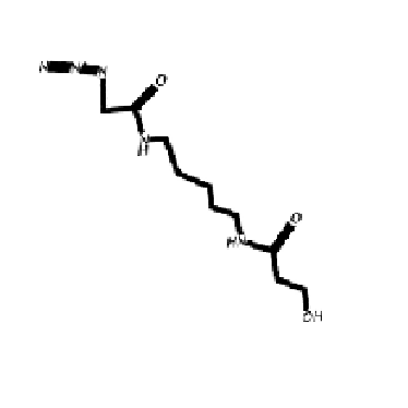 [N-]=[N+]=NCC(=O)NCCCCCNC(=O)CCO